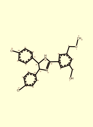 COCc1cc(CO)cc(C2=NC(c3ccc(Cl)cc3)C(c3ccc(Cl)cc3)N2)c1